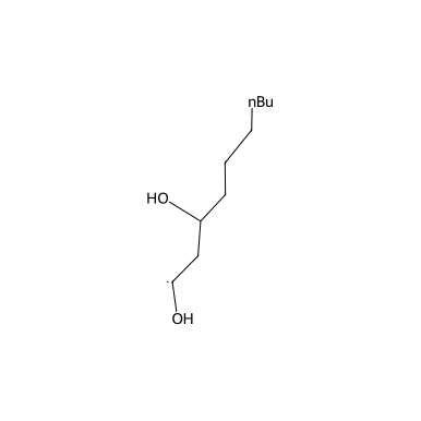 CCCCCCCC(O)C[CH]O